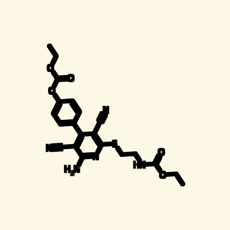 CCOC(=O)NCCSc1nc(N)c(C#N)c(-c2ccc(OC(=O)OCC)cc2)c1C#N